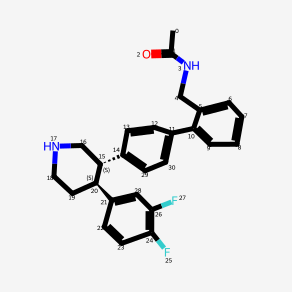 CC(=O)NCc1ccccc1-c1ccc([C@H]2CNCC[C@@H]2c2ccc(F)c(F)c2)cc1